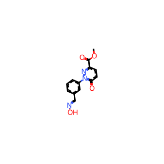 COC(=O)c1ccc(=O)n(-c2cccc(C=NO)c2)n1